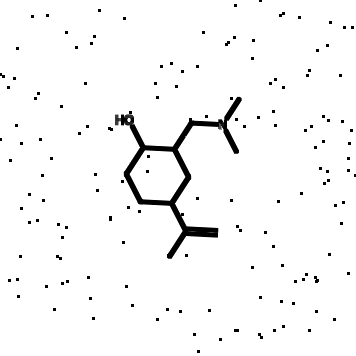 C=C(C)C1CCC(O)C(CN(C)C)C1